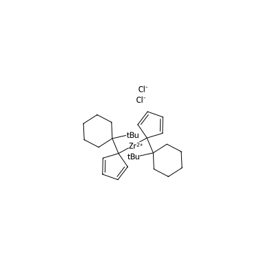 CC(C)(C)C1([C]2([Zr+2][C]3(C4(C(C)(C)C)CCCCC4)C=CC=C3)C=CC=C2)CCCCC1.[Cl-].[Cl-]